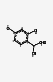 N#CC(C=O)c1ccc(Cl)cc1Cl